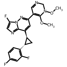 COC1=C(c2cc([C@H]3C[C@@H]3c3ccc(F)cc3F)c3ncc(F)n3n2)C=NCN1OC